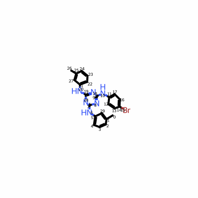 Cc1cccc(Nc2nc(Nc3ccc(Br)cc3)nc(Nc3cccc(C)c3)n2)c1